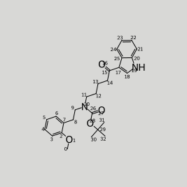 COc1ccccc1CCN(CCCCC(=O)c1c[nH]c2ccccc12)C(=O)OC(C)(C)C